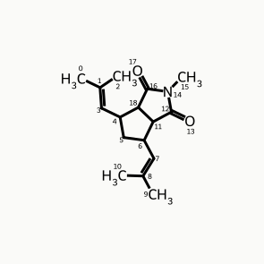 CC(C)=CC1CC(C=C(C)C)C2C(=O)N(C)C(=O)C12